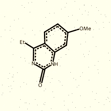 CCc1nc(=O)[nH]c2cc(OC)ccc12